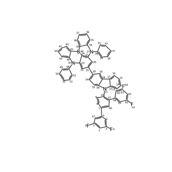 Fc1cc(F)cc(-c2ccc(-n3c4ccccc4c4cc(-c5cc6c7c(c5)N(c5ccccc5)c5ccccc5B7c5ccccc5N6c5ccccc5)ccc43)c(-c3cc(F)cc(F)c3)c2)c1